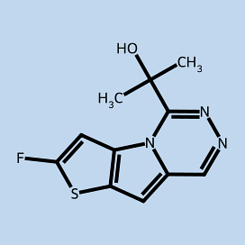 CC(C)(O)c1nncc2cc3sc(F)cc3n12